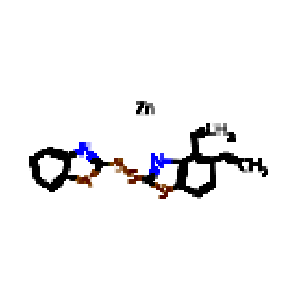 C=Cc1ccc2sc(SSc3nc4ccccc4s3)nc2c1C=C.[Zn]